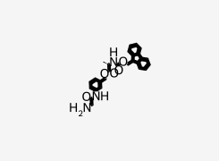 C[C@H](NC(=O)OCC1c2ccccc2-c2ccccc21)C(=O)OCc1cccc(NC(=O)CN)c1